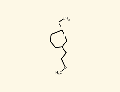 CC[C@H]1CCCN(CCOC)CC1